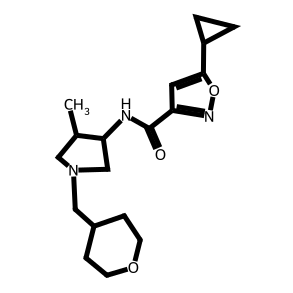 CC1CN(CC2CCOCC2)CC1NC(=O)c1cc(C2CC2)on1